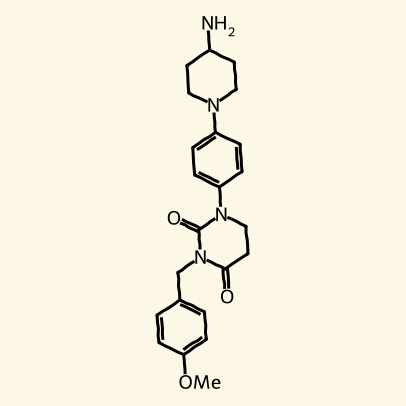 COc1ccc(CN2C(=O)CCN(c3ccc(N4CCC(N)CC4)cc3)C2=O)cc1